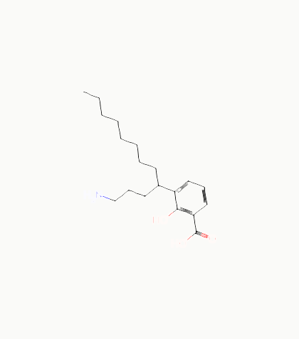 CCCCCCCCC(CCCN)c1cccc(C(=O)O)c1O